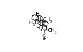 CC(C)CCC[C@@H](C)[C@H]1CC[C@@]2(C)[C@@H]3CC[C@H]4CCCC[C@]4(C)[C@H]3CC[C@]12C